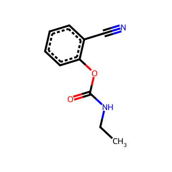 CCNC(=O)Oc1ccccc1C#N